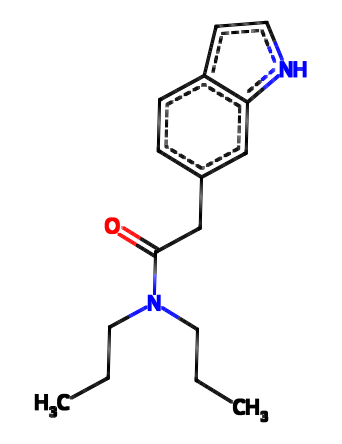 CCCN(CCC)C(=O)Cc1ccc2cc[nH]c2c1